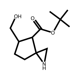 CC(C)(C)OC(=O)C1C(CO)CCC12CN2